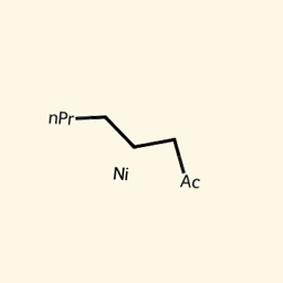 CCCCCCC(C)=O.[Ni]